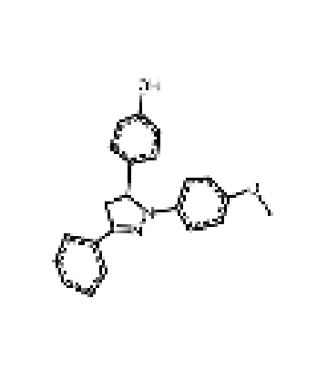 COc1ccc(N2N=C(c3ccccc3)CC2c2ccc(O)cc2)cc1